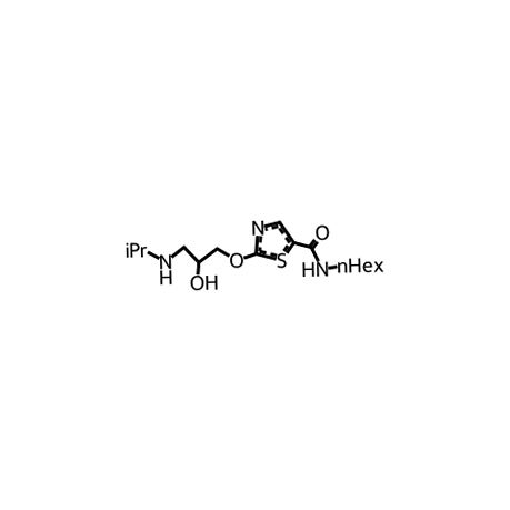 CCCCCCNC(=O)c1cnc(OCC(O)CNC(C)C)s1